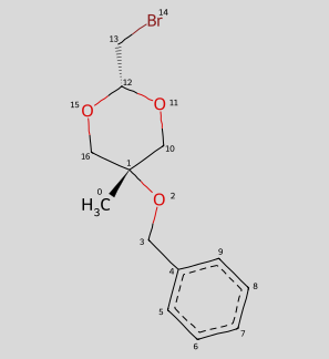 C[C@]1(OCc2ccccc2)CO[C@@H](CBr)OC1